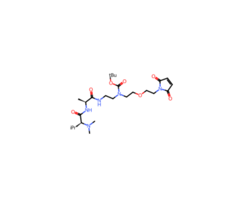 CC(C)[C@@H](C(=O)N[C@@H](C)C(=O)NCCN(CCOCCN1C(=O)C=CC1=O)C(=O)OC(C)(C)C)N(C)C